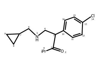 CC(C)C(=O)C(CNCC1CC1)c1ccc(Cl)cc1